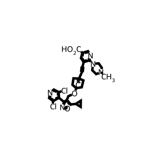 CN1CCN(c2ncc(C(=O)O)cc2C#CC23CCC(OCc4c(-c5c(Cl)cncc5Cl)noc4C4CC4)(CC2)CC3)CC1